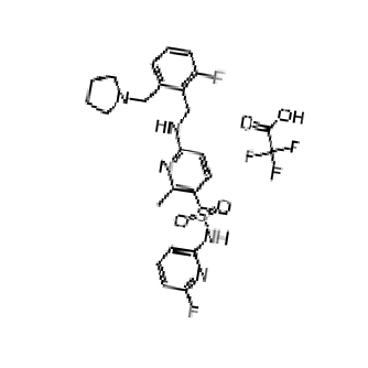 Cc1nc(NCc2c(F)cccc2CN2CCCC2)ccc1S(=O)(=O)Nc1cccc(F)n1.O=C(O)C(F)(F)F